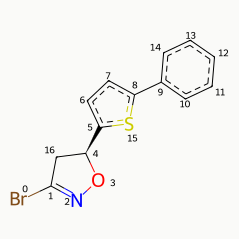 BrC1=NO[C@H](c2ccc(-c3ccccc3)s2)C1